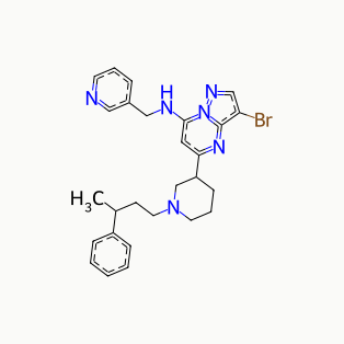 CC(CCN1CCCC(c2cc(NCc3cccnc3)n3ncc(Br)c3n2)C1)c1ccccc1